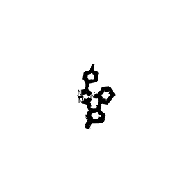 Cc1ccc2c3ccccc3n3c(-c4ccc(I)cc4)nnc3c2c1